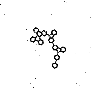 c1ccc(-c2ccc(-n3c4ccccc4c4cc(-c5ccc6c(c5)c5ccccc5n6-c5ccc6c7ccccc7c7c8ccccc8c8ccccc8c7c6c5)ccc43)cc2)cc1